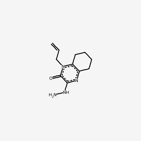 C=CCn1c2c(nc(NN)c1=O)CCCC2